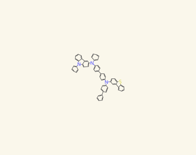 c1ccc(-c2ccc(N(c3ccc(-c4ccc(N(c5ccccc5)c5ccc6c(c5)c5ccccc5n6-c5ccccc5)cc4)cc3)c3ccc4sc5ccccc5c4c3)cc2)cc1